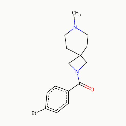 CCc1ccc(C(=O)N2CC3(CCN(C)CC3)C2)cc1